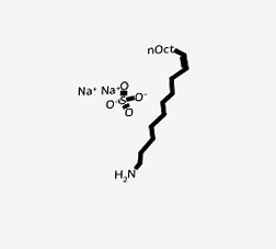 CCCCCCCC/C=C\CCCCCCCCN.O=S(=O)([O-])[O-].[Na+].[Na+]